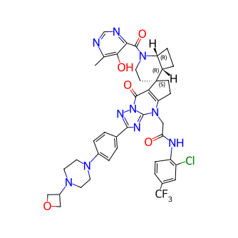 Cc1ncnc(C(=O)N2CC[C@@]3(CCc4c3c(=O)n3nc(-c5ccc(N6CCN(C7COC7)CC6)cc5)nc3n4CC(=O)Nc3ccc(C(F)(F)F)cc3Cl)[C@H]3CC[C@H]32)c1O